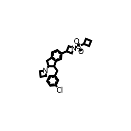 O=S(=O)(C1CCC1)N1CC(c2ccc3c(c2)C(Cc2cccc(Cl)c2)C(N2CCC2)C3)C1